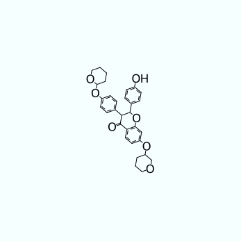 O=C1c2ccc(OC3CCCOC3)cc2OC(c2ccc(O)cc2)C1c1ccc(OC2CCCCO2)cc1